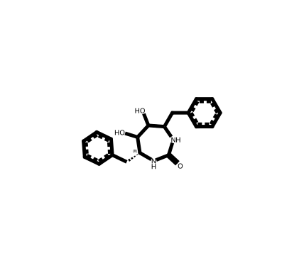 O=C1NC(Cc2ccccc2)C(O)C(O)[C@@H](Cc2ccccc2)N1